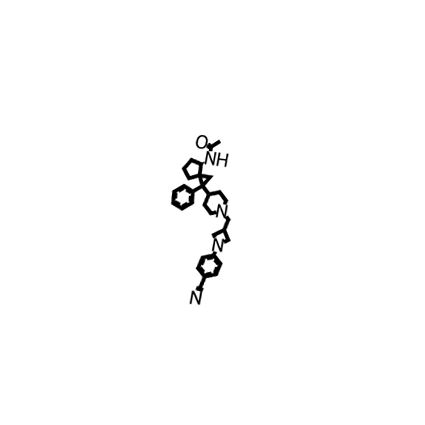 CC(=O)N[C@H]1CCCC12CC2(c1ccccc1)C1CCN(CC2CN(c3ccc(C#N)cc3)C2)CC1